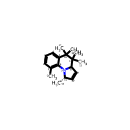 Cc1cccc2c1N1C(C=C[C@@H]1C)C(C)(C)C2(C)C